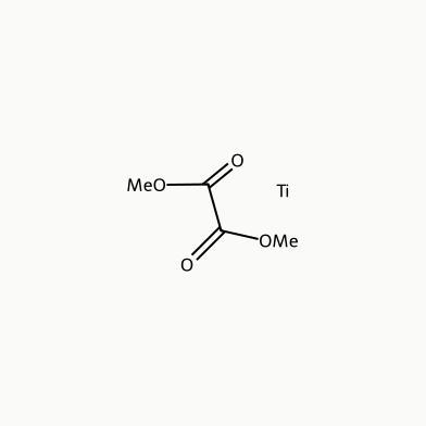 COC(=O)C(=O)OC.[Ti]